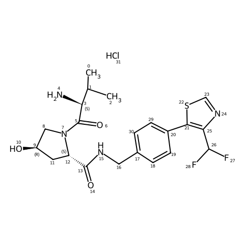 CC(C)[C@H](N)C(=O)N1C[C@H](O)C[C@H]1C(=O)NCc1ccc(-c2scnc2C(F)F)cc1.Cl